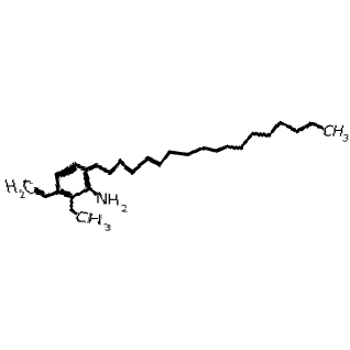 C=Cc1ccc(CCCCCCCCCCCCCCCCCC)c(N)c1CC